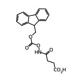 O=C(O)CCC(=O)NOC(=O)OCC1c2ccccc2-c2ccccc21